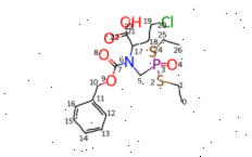 CCSP(=O)(CN(C(=O)OCc1ccccc1)C(CCCl)C(=O)O)SCC